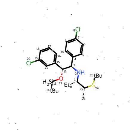 CC[C@H](N[C@H](c1ccc(Cl)cc1)[C@H](O[SiH2]C(C)(C)C)c1cccc(Cl)c1)[C@@H](C)SC(C)(C)C